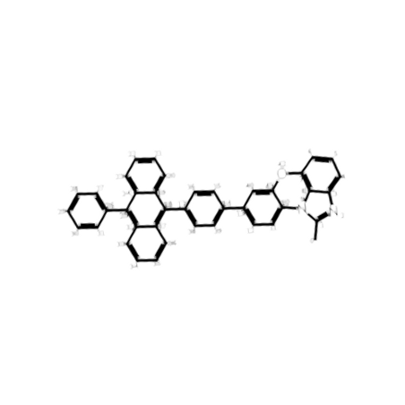 Cc1nc2cccc3c2n1-c1ccc(-c2ccc(-c4c5ccccc5c(-c5ccccc5)c5ccccc45)cc2)cc1O3